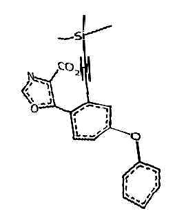 C[Si](C)(C)C#Cc1cc(Oc2ccccc2)ccc1-c1ocnc1C(=O)O